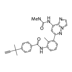 C#CC(C)(C)c1ccc(C(=O)Nc2cccc(-c3cc(NC(=O)NC)c4nccn4n3)c2C)cc1